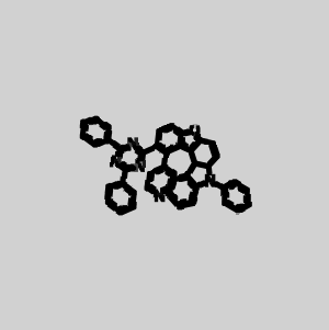 C1=CC2C(c3ccccc3N2c2ccccc2)c2c1oc1ccc(-c3nc(-c4ccccc4)nc(-c4ccccc4)n3)c(-c3ccncc3)c21